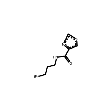 CC(C)CCCNC(=O)c1cscn1